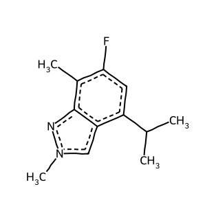 Cc1c(F)cc(C(C)C)c2cn(C)nc12